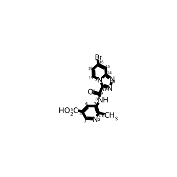 Cc1ncc(C(=O)O)cc1NC(=O)c1nnc2cc(Br)ccn12